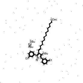 CCCCCCCCCCCCCCCCCCCCCCC=CC1=C(c2cccc(CC)c2)[N+](=[N-])C(c2cccc(CC)c2)=C1CCCC.CCC[CH2][Pd][CH2]CCC